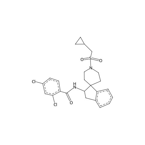 O=C(NC1Cc2ccccc2C12CCN(S(=O)(=O)CC1CC1)CC2)c1ccc(Cl)cc1Cl